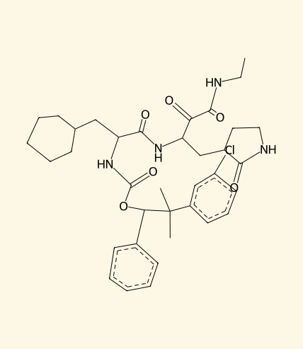 CCNC(=O)C(=O)C(CC1CCNC1=O)NC(=O)C(CC1CCCCC1)NC(=O)OC(c1ccccc1)C(C)(C)c1cccc(Cl)c1